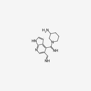 N=Cc1cnc2[nH]ccc2c1C(=N)N1CCCC(N)C1